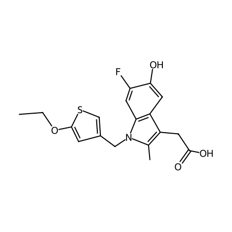 CCOc1cc(Cn2c(C)c(CC(=O)O)c3cc(O)c(F)cc32)cs1